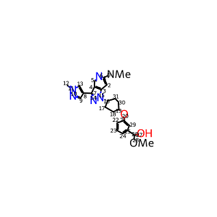 CNc1cc2c(cn1)c(-c1cnn(C)c1)nn2[C@H]1CC[C@@H](Oc2cccc(C(O)OC)c2)CC1